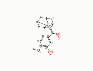 COC(=C1C2CC3CC(C2)CC1C3)c1ccc(OC)c(O)c1